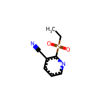 CCS(=O)(=O)c1ncccc1C#N